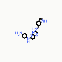 N[C@H]1CC[C@H](Nc2ccc3ncc(NCc4ccc5cc[nH]c5c4)nc3n2)CC1